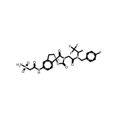 CC(N(Cc1ccc(F)cc1)C(=O)CN1C(=O)O[C@@]2(CCc3cc(NC(=O)CS(N)(=O)=O)ccc32)C1=O)C(F)(F)F